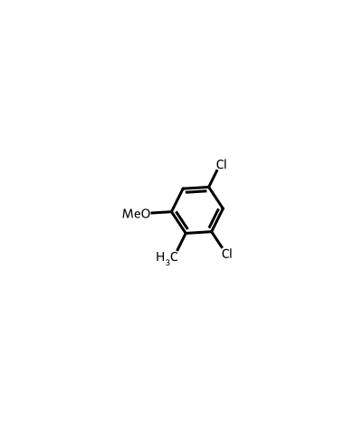 COc1cc(Cl)cc(Cl)c1C